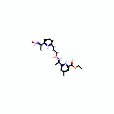 CCOC(=O)c1cc(C)cc(/C(C)=N/OCCCc2cccc(/C(C)=N/OC)n2)n1